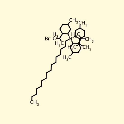 CCCCCCCCCCCCCCCC[N+](C1CC(C)CCC1C(C)C)(C1CC(C)CCC1C(C)C)C1CC(C)CCC1C(C)C.[Br-]